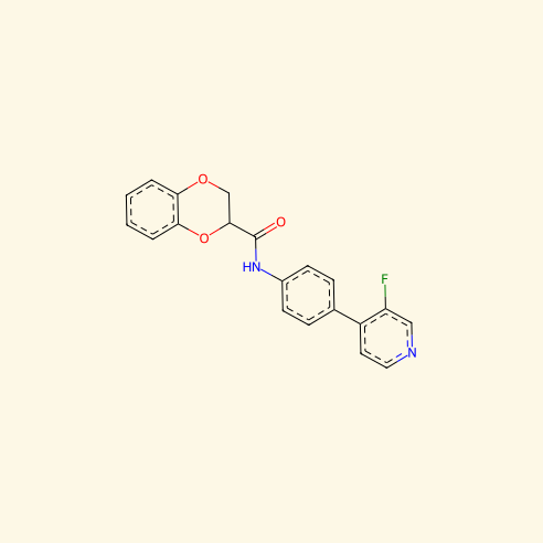 O=C(Nc1ccc(-c2ccncc2F)cc1)C1COc2ccccc2O1